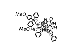 COc1ccc(C(OC[C@H]2O[C@@](C(N)=O)(n3cnc4c(=O)[nH]c(NC(=O)COc5ccccc5)nc43)[C@H](Oc3ccccc3)[C@@H]2O)(c2ccccc2)c2ccc(OC)cc2)cc1